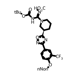 CCCCCCCCCOc1ccc(-c2noc([C@@H]3CCCN(/C(=N/C(=O)O)NC(=O)OC(C)(C)C)C3)n2)cc1C(F)(F)F